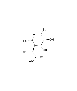 CCCC(=O)N([C@H]1C(O)O[C@H](CC)[C@@H](O)[C@@H]1O)C(C)(C)C